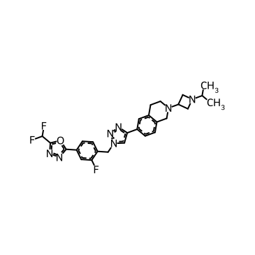 CC(C)N1CC(N2CCc3cc(-c4cn(Cc5ccc(-c6nnc(C(F)F)o6)cc5F)nn4)ccc3C2)C1